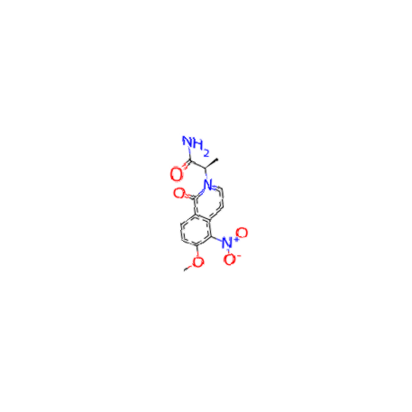 COc1ccc2c(=O)n([C@H](C)C(N)=O)ccc2c1[N+](=O)[O-]